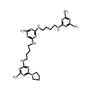 Nc1nc(N)nc(NCCCCNc2nc(N)nc(NCCCCNc3nc(N)nc(N4CCCC4)n3)n2)n1